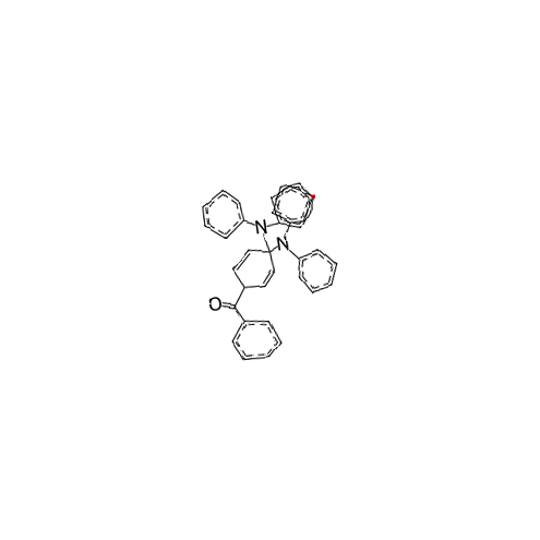 O=C(c1ccccc1)C1C=CC(N(c2ccccc2)c2ccccc2)(N(c2ccccc2)c2ccccc2)C=C1